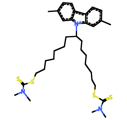 Cc1ccc2c3ccc(C)cc3n(C(CCCCCCCSC(=S)N(C)C)CCCCCCCSC(=S)N(C)C)c2c1